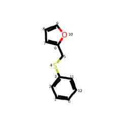 c1ccc(SCc2ccco2)cc1